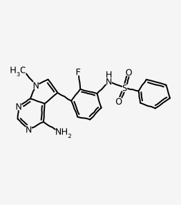 Cn1cc(-c2cccc(NS(=O)(=O)c3ccccc3)c2F)c2c(N)ncnc21